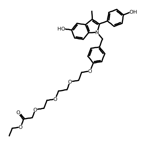 CCOC(=O)COCCOCCOCCOc1ccc(Cn2c(-c3ccc(O)cc3)c(C)c3cc(O)ccc32)cc1